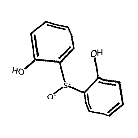 [O-][S+](c1ccccc1O)c1ccccc1O